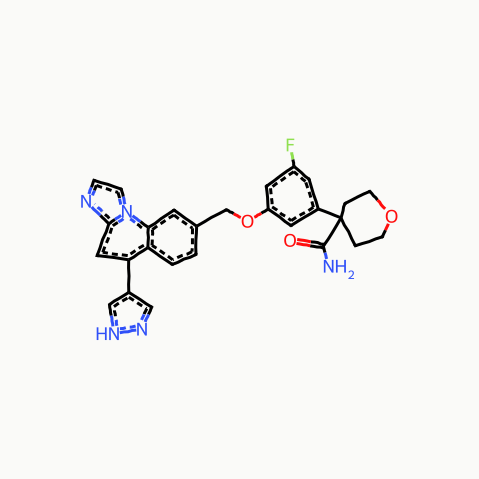 NC(=O)C1(c2cc(F)cc(OCc3ccc4c(-c5cn[nH]c5)cc5nccn5c4c3)c2)CCOCC1